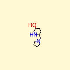 OC1CCC(CN2CCCC2)NC1